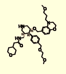 COCCCN1CCOc2ccc(CO[C@H]3CNC[C@@H](CNC(=O)CC4CCOCC4)[C@@H]3c3ccc(COCCOC)cc3)cc21